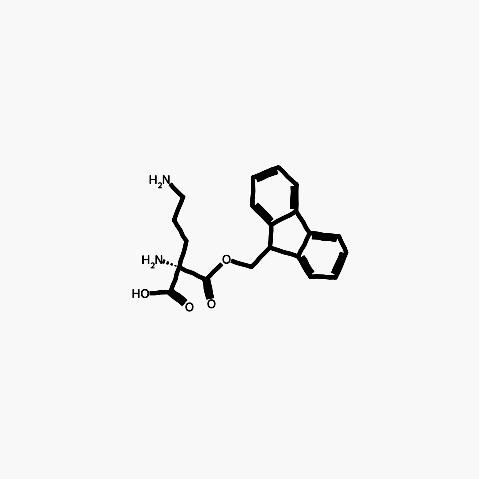 NCCC[C@](N)(C(=O)O)C(=O)OCC1c2ccccc2-c2ccccc21